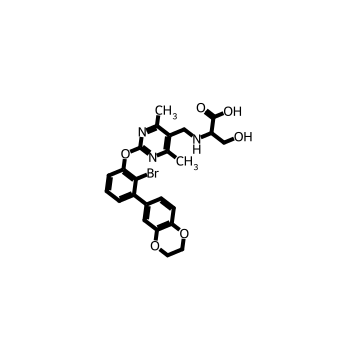 Cc1nc(Oc2cccc(-c3ccc4c(c3)OCCO4)c2Br)nc(C)c1CNC(CO)C(=O)O